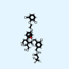 O=C(CC(F)(F)F)NCc1ccc(Cl)c(CN(C(=O)C2=C(c3ccc(OCCOc4c(Cl)cccc4Cl)cc3)CCNC2CO)C2CC2)c1